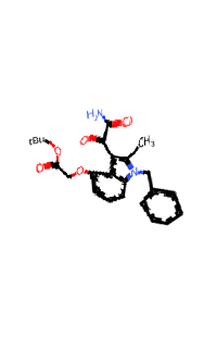 Cc1c(C(=O)C(N)=O)c2c(OCC(=O)OC(C)(C)C)cccc2n1Cc1ccccc1